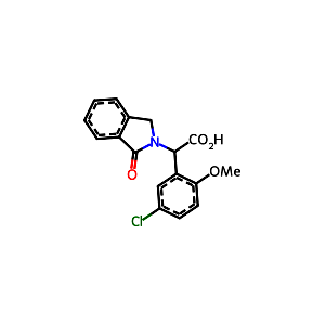 COc1ccc(Cl)cc1C(C(=O)O)N1Cc2ccccc2C1=O